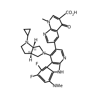 CNc1cc(F)c(F)c2c1[nH]c1ncc(-c3cnc4c(c3)c(=O)c(C(=O)O)cn4C)c(N3C[C@@H]4CCN(C5CC5)[C@@H]4C3)c12